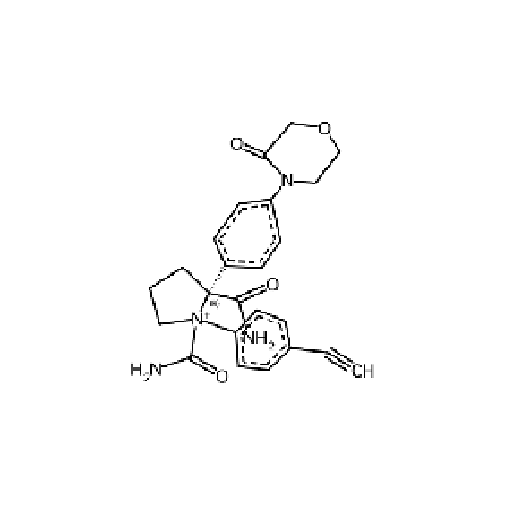 C#Cc1ccc([N+]2(C(N)=O)CCC[C@]2(C(N)=O)c2ccc(N3CCOCC3=O)cc2)cc1